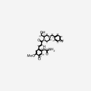 COc1cc(C=CC(=O)N2CCN(Cc3ccc(F)cc3)CC2CO)c(NC(N)=O)cc1Cl